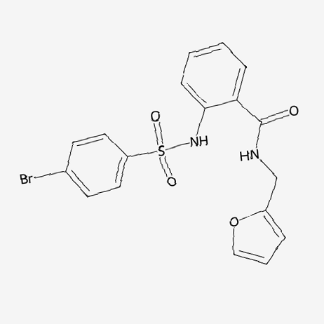 O=C(NCc1ccco1)c1ccccc1NS(=O)(=O)c1ccc(Br)cc1